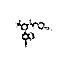 CN1CCN(CC(=O)NC2CC(C(F)(F)F)CN(c3ccc(C#N)c4nccnc34)C2)CC1